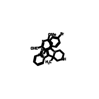 COc1cc(N2CCNCC2(C)c2c(-c3ccc(Br)cc3)nc3ccccn23)c(C)c(C=O)n1